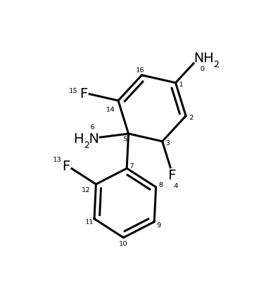 NC1=CC(F)C(N)(c2ccccc2F)C(F)=C1